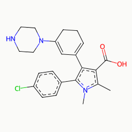 Cc1c(C(=O)O)c(C2=CCCC(N3CCNCC3)=C2)c(-c2ccc(Cl)cc2)n1C